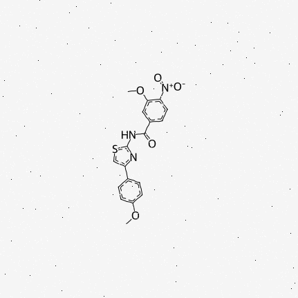 COc1ccc(-c2csc(NC(=O)c3ccc([N+](=O)[O-])c(OC)c3)n2)cc1